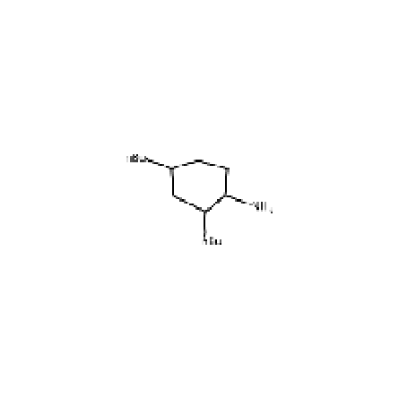 CCCCC1CCC(N)C(CCCC)C1